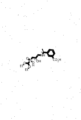 CCOC(OCC)P(=O)(O)C[C@@H](O)CN[C@@H](C)c1cccc(C(=O)O)c1